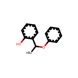 CCCCC(Oc1ccccc1)c1ccccc1O